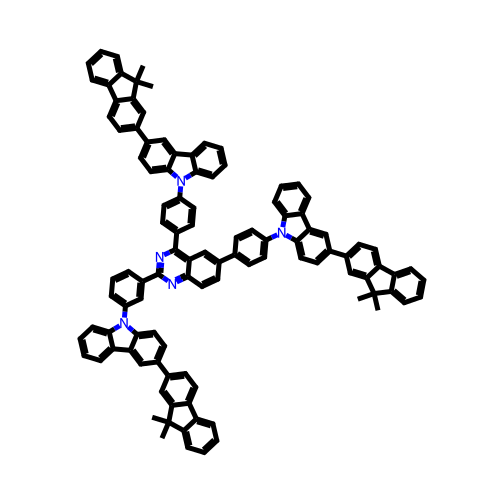 CC1(C)c2ccccc2-c2ccc(-c3ccc4c(c3)c3ccccc3n4-c3ccc(-c4ccc5nc(-c6cccc(-n7c8ccccc8c8cc(-c9ccc%10c(c9)C(C)(C)c9ccccc9-%10)ccc87)c6)nc(-c6ccc(-n7c8ccccc8c8cc(-c9ccc%10c(c9)C(C)(C)c9ccccc9-%10)ccc87)cc6)c5c4)cc3)cc21